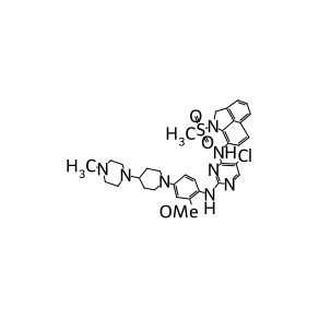 COc1cc(N2CCC(N3CCN(C)CC3)CC2)ccc1Nc1ncc(Cl)c(Nc2ccc3cccc4c3c2N(S(C)(=O)=O)C4)n1